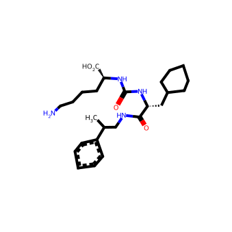 CC(CNC(=O)[C@@H](CC1CCCCC1)NC(=O)N[C@@H](CCCCN)C(=O)O)c1ccccc1